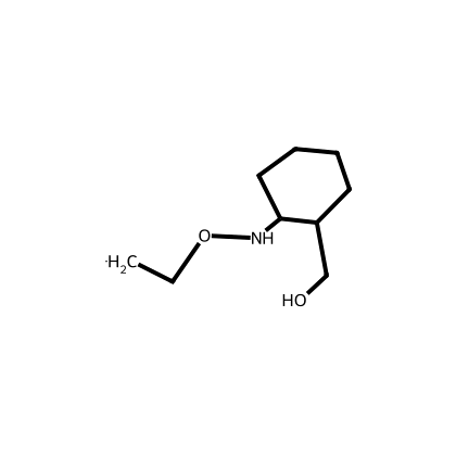 [CH2]CONC1CCCCC1CO